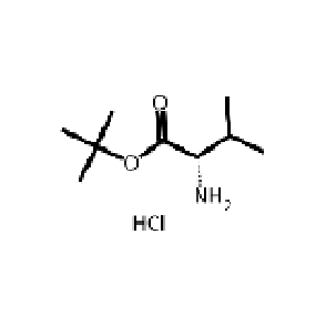 CC(C)[C@H](N)C(=O)OC(C)(C)C.Cl